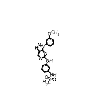 COc1cccc(-n2nnc3cnc(Nc4cccc(NS(C)(=O)=O)c4)nc32)c1